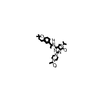 CC(=O)N1CCN(c2nc(NC(C)c3ccc4c(c3)CCC(C)(C)O4)c3c(n2)C(=O)N(C(C)C)C3)CC1